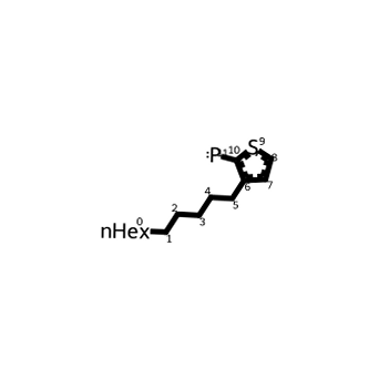 CCCCCCCCCCCc1ccsc1[P]